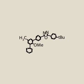 COc1c(-c2ccccc2)cc(C)cc1-c1ccc(-c2nnc(-c3ccc(C(C)(C)C)cc3)o2)cc1